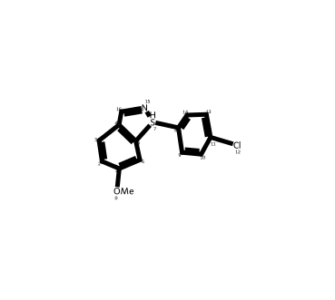 COc1ccc2c(c1)[SH](c1ccc(Cl)cc1)N=C2